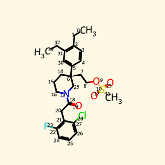 CCc1ccc([C@@]2(CCOS(C)(=O)=O)CCCN(C(=O)Cc3c(F)cccc3Cl)C2)cc1CC